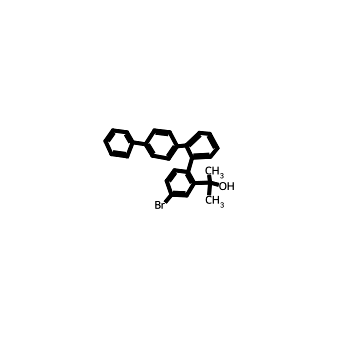 CC(C)(O)c1cc(Br)ccc1-c1ccccc1-c1ccc(-c2ccccc2)cc1